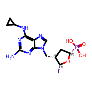 Nc1nc(NC2CC2)c2ncn(C[C@@H]3C[C@H](P(=O)(O)O)O[C@@H]3I)c2n1